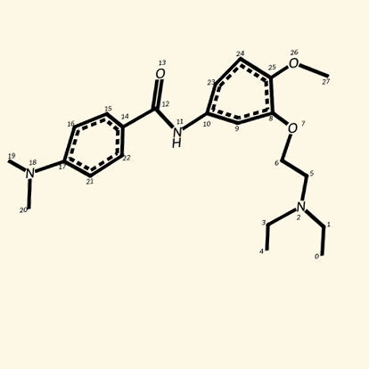 CCN(CC)CCOc1cc(NC(=O)c2ccc(N(C)C)cc2)ccc1OC